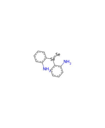 Nc1ccccc1[Se](=[Se])c1ccccc1N